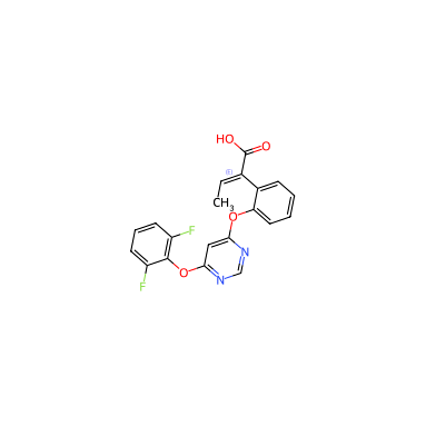 C/C=C(/C(=O)O)c1ccccc1Oc1cc(Oc2c(F)cccc2F)ncn1